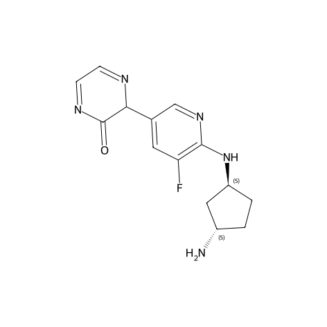 N[C@H]1CC[C@H](Nc2ncc(C3N=CC=NC3=O)cc2F)C1